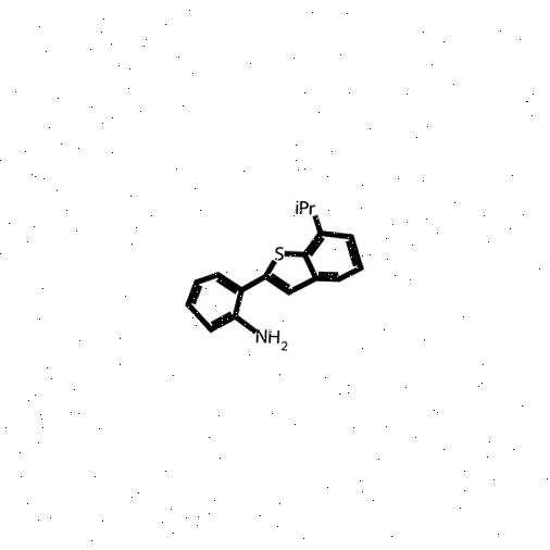 CC(C)c1cccc2cc(-c3ccccc3N)sc12